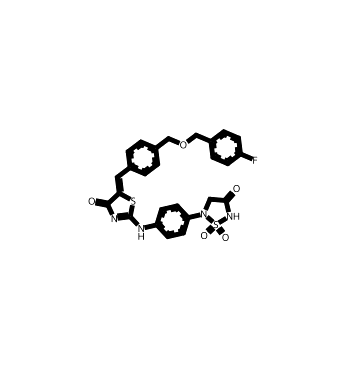 O=C1CN(c2ccc(NC3=NC(=O)C(=Cc4ccc(COCc5ccc(F)cc5)cc4)S3)cc2)S(=O)(=O)N1